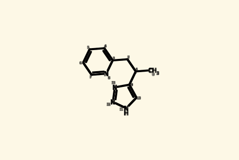 C[C](Cc1ccccn1)c1c[nH]nn1